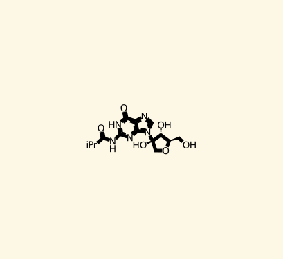 CC(C)C(=O)Nc1nc2c(ncn2[C@@]2(O)CO[C@H](CO)[C@H]2O)c(=O)[nH]1